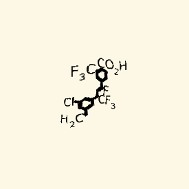 C=Cc1cc(Cl)cc(C(/C=C(\F)c2ccc(C(=O)O)c(C(F)(F)F)c2)C(F)(F)F)c1